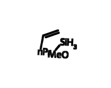 C=CCCC.CO[SiH3]